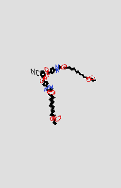 C=CC(=O)OCCCCCCCCCCOc1cnc(-c2ccc(C(=O)Oc3ccc(C#N)cc3OC(=O)c3ccc(-c4ncc(OCCCCCCCCCCOC(=O)C=C)cn4)cc3)cc2)nc1